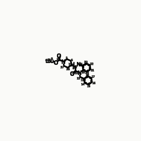 CC(C)(C)OC(=O)N1CCC(CC(=O)N(Cc2ccccc2)c2ccccc2N)CC1